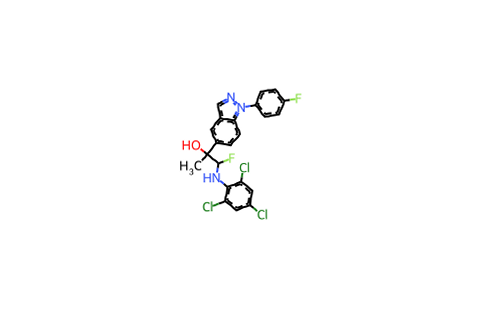 CC(O)(c1ccc2c(cnn2-c2ccc(F)cc2)c1)C(F)Nc1c(Cl)cc(Cl)cc1Cl